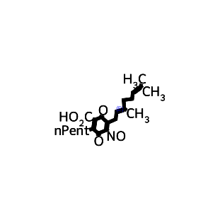 CCCCCC1=C(C(=O)O)C(=O)C(C/C=C(\C)CCC=C(C)C)=C(N=O)C1=O